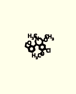 COc1cc2c(cc1Cl)C(OC)CN(C)CC2c1cccc2c1OCC2